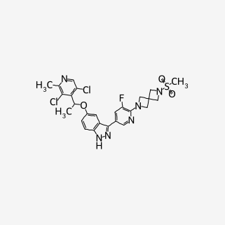 Cc1ncc(Cl)c(C(C)Oc2ccc3[nH]nc(-c4cnc(N5CC6(C5)CN(S(C)(=O)=O)C6)c(F)c4)c3c2)c1Cl